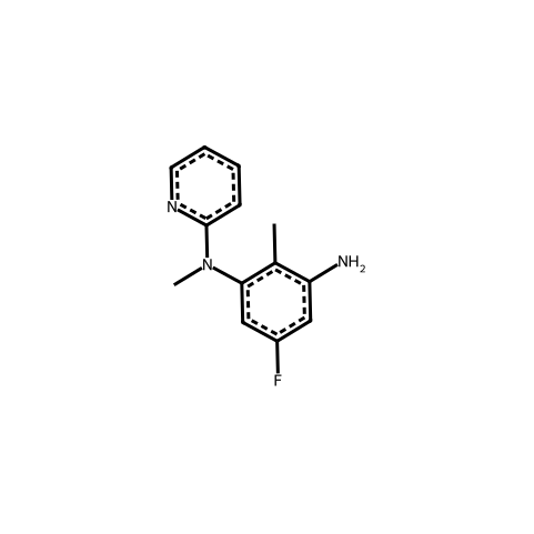 Cc1c(N)cc(F)cc1N(C)c1ccccn1